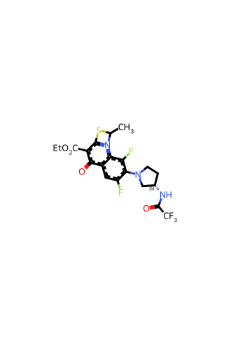 CCOC(=O)c1c2n(c3c(F)c(N4CC[C@H](NC(=O)C(F)(F)F)C4)c(F)cc3c1=O)C(C)S2